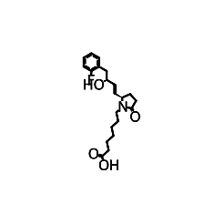 O=C(O)CCCCCCN1C(=O)CC[C@@H]1/C=C/[C@@H](O)Cc1ccccc1F